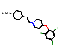 CC(=O)N[C@H]1CC[C@H](CCN2CCC(Oc3c(Cl)cc(F)cc3Cl)CC2)CC1